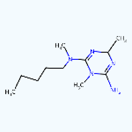 CCCCCN(C)C1=NC(C)N=C(N)N1C